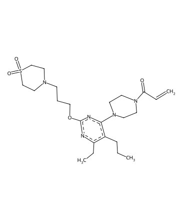 C=CC(=O)N1CCN(c2nc(OCCCN3CCS(=O)(=O)CC3)nc(CC)c2CCC)CC1